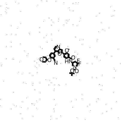 COc1cc(C(=O)NC2CN(C(=O)OC(C)(C)C)CC(F)(F)C2)ccc1-c1cc2nccc(-c3ccc(OC4CCOCC4)c(C#N)c3)c2o1